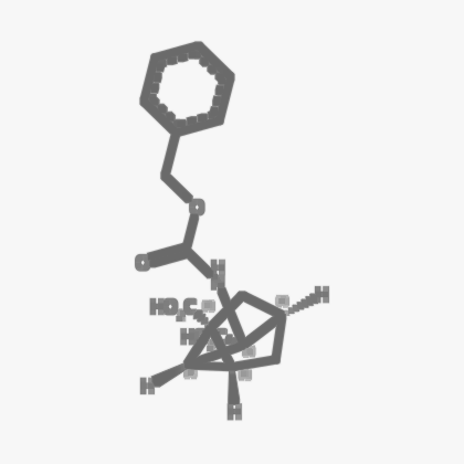 O=C(N[C@@]1(C(=O)O)[C@@H]2C[C@@H]3[C@@H]1[C@@]3(C(=O)O)C2)OCc1ccccc1